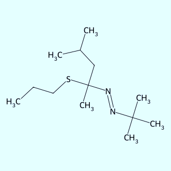 CCCSC(C)(CC(C)C)/N=N/C(C)(C)C